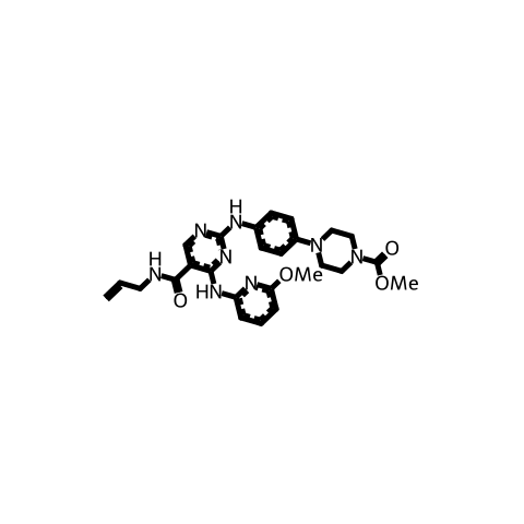 C=CCNC(=O)c1cnc(Nc2ccc(N3CCN(C(=O)OC)CC3)cc2)nc1Nc1cccc(OC)n1